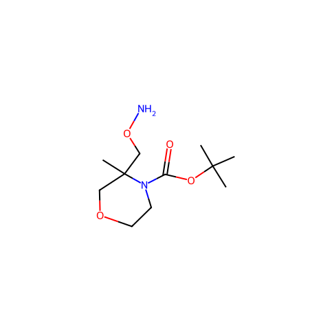 CC(C)(C)OC(=O)N1CCOCC1(C)CON